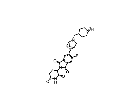 [2H]N1CCC(CN2CC3CC2CN3c2cc3c(cc2F)C(=O)N(C2CCC(=O)NC2=O)C3=O)CC1